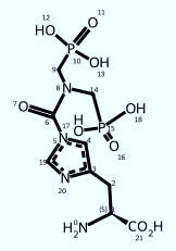 N[C@@H](Cc1cn(C(=O)N(CP(=O)(O)O)CP(=O)(O)O)cn1)C(=O)O